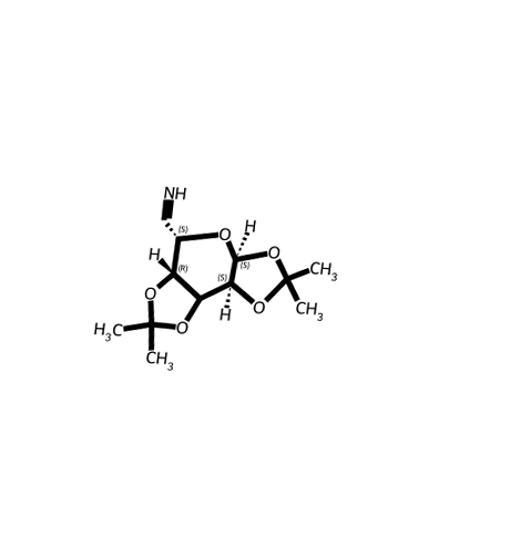 CC1(C)O[C@@H]2O[C@@H](C=N)[C@H]3OC(C)(C)OC3[C@@H]2O1